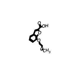 COCCOc1cccc2cc(C(=O)O)oc12